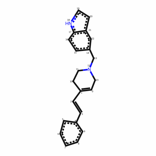 C1=C(/C=C/c2ccccc2)CCN(Cc2ccc3[nH]ccc3c2)C1